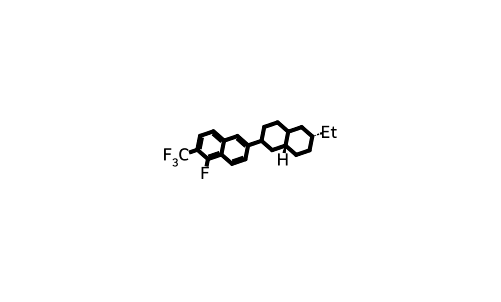 CC[C@@H]1CC[C@@H]2CC(c3ccc4c(F)c(C(F)(F)F)ccc4c3)CCC2C1